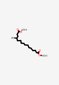 CCCCCCCCOC(=O)CCCCCCCCCCCC(CCC(=O)OCCCCCCCC)C(C)C